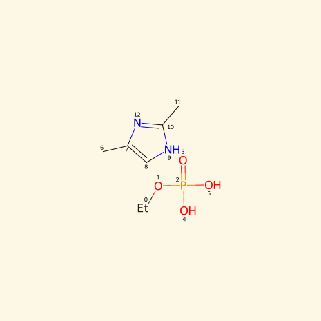 CCOP(=O)(O)O.Cc1c[nH]c(C)n1